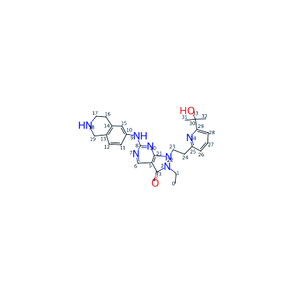 CCn1c(=O)c2cnc(Nc3ccc4c(c3)CCNC4)nc2n1CCc1cccc(C(C)(C)O)n1